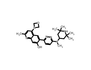 Cc1cc(N2COC2)c2cc(-c3ccc(N(C)C4CC(C)(C)NC(C)(C)C4)nn3)c(O)cc2n1